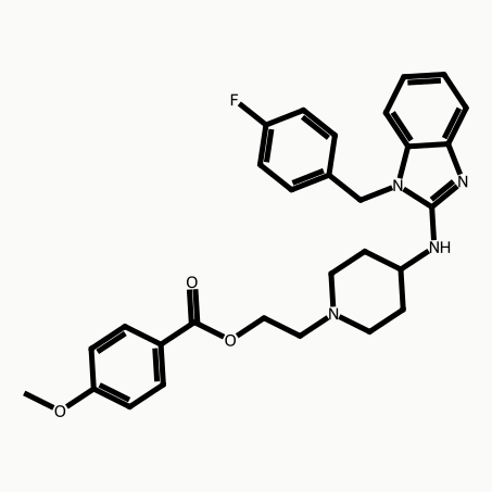 COc1ccc(C(=O)OCCN2CCC(Nc3nc4ccccc4n3Cc3ccc(F)cc3)CC2)cc1